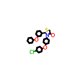 O=C1CSC(c2cccc(Oc3ccccc3)c2)N1c1ccc(Oc2ccc(Cl)cc2)cc1